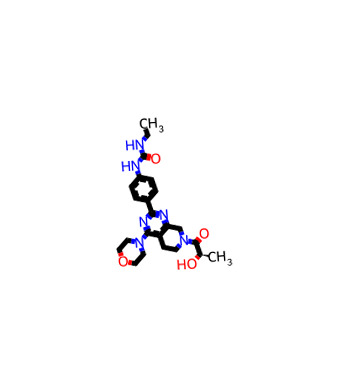 CCNC(=O)Nc1ccc(-c2nc3c(c(N4CCOCC4)n2)CCN(C(=O)[C@H](C)O)C3)cc1